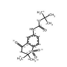 CC(C)(C)OC(=O)Nc1ccc2c(c1)C(=O)CC(C)(C)S2(=O)=O